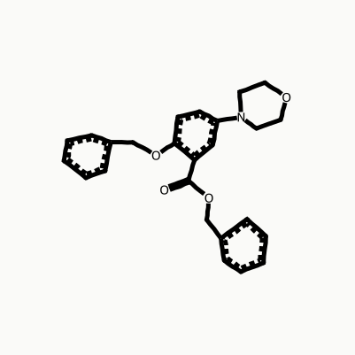 O=C(OCc1ccccc1)c1cc(N2CCOCC2)ccc1OCc1ccccc1